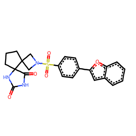 O=C1NC(=O)C2(CCCC23CN(S(=O)(=O)c2ccc(-c4cc5ccccc5o4)cc2)C3)N1